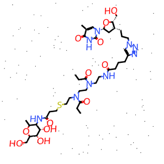 CCC(=O)N(CCNC(=O)CCCc1cn(CCC[C@@H]2C[C@H](n3cc(C)c(=O)[nH]c3=O)O[C@@H]2CO)nn1)CCN(CCSCCC(=O)NC1C(C)OC(CO)[C@@H](O)[C@H]1O)C(=O)CC